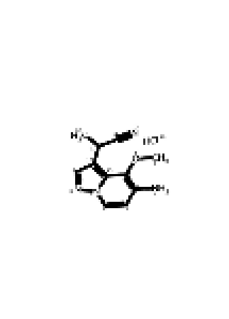 COc1c(N)ccn2ncc(C(C)C#N)c12.Cl